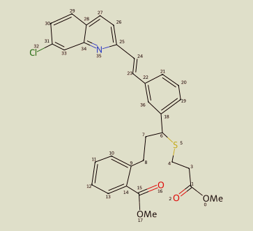 COC(=O)CCSC(CCc1ccccc1C(=O)OC)c1cccc(C=Cc2ccc3ccc(Cl)cc3n2)c1